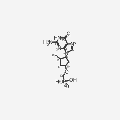 Nc1nc2c(ncn2C2CC(OCP(=O)(O)O)CC2F)c(=O)[nH]1